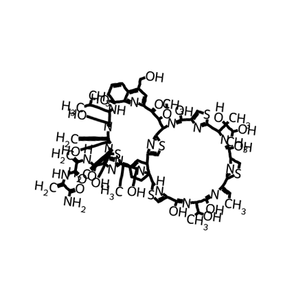 C=C1N=C(O)C(C(C)C)NC2(O)CC=Cc3c(CO)cc(nc32)C(=O)C(OC)C2N=C(O)c3csc(n3)C(C(C)(O)C(C)O)N=C(O)C3CSC(=N3)C(=C/C)/N=C(/O)C(C(C)O)N=C(O)C3=CSC(N3)C3(CCC(c4nc(C(=O)NC(=C)C(=O)NC(=C)C(N)=O)cs4)=CC3c3csc2n3)N=C(O)C(C)N=C(O)C(=C)N=C1O